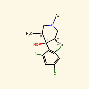 CC(=O)N1C[C@@H](C)[C@](O)(c2c(F)cc(Cl)cc2F)[C@@H](C)C1